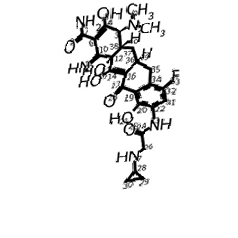 CN(C)[C@@H]1C(O)=C(C(N)=O)C(=N)[C@@]2(O)C(O)=C3C(=O)c4c(O)c(NC(=O)CNC5CC5)cc(F)c4C[C@H]3C[C@@H]12